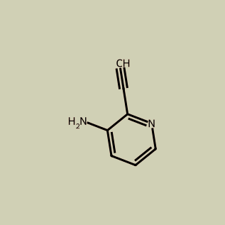 C#Cc1ncccc1N